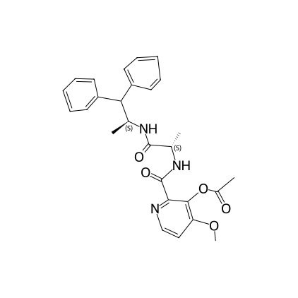 COc1ccnc(C(=O)N[C@@H](C)C(=O)N[C@@H](C)C(c2ccccc2)c2ccccc2)c1OC(C)=O